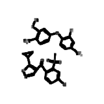 CCOc1cc(Oc2ccc(C(F)(F)F)cc2Cl)ccc1[N+](=O)[O-].CS(=O)(=O)c1cc(Cl)ccc1C(=O)c1cnoc1C1CC1